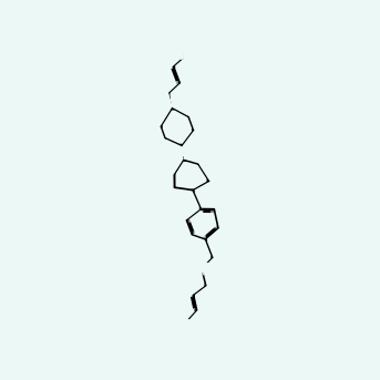 CCC=CCOCc1ccc(C2CCC([C@H]3CC[C@H](C/C=C/CC)CC3)CC2)cc1